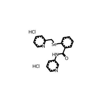 Cl.Cl.O=C(Nc1cccnc1)c1ccccc1[Se]Cc1ccccn1